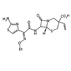 C=CC1(C(=O)O)CS[C@@H]2C(NC(=O)C(=NOCC)c3csc(N)n3)C(=O)N2C1